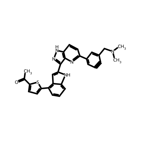 CC(=O)c1ccc(-c2cccc3[nH]c(-c4n[nH]c5ccc(-c6cc#cc(CN(C)C)c6)nc45)cc23)s1